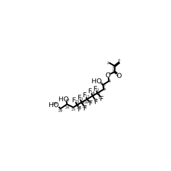 C=C(C)C(=O)OCC(O)CC(F)(F)C(F)(F)C(F)(F)C(F)(F)C(F)(F)CC(O)CO